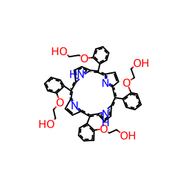 OCCOc1ccccc1-c1c2nc(c(-c3ccccc3OCCO)c3ccc([nH]3)c(-c3ccccc3OCCO)c3nc(c(-c4ccccc4OCCO)c4ccc1[nH]4)C=C3)C=C2